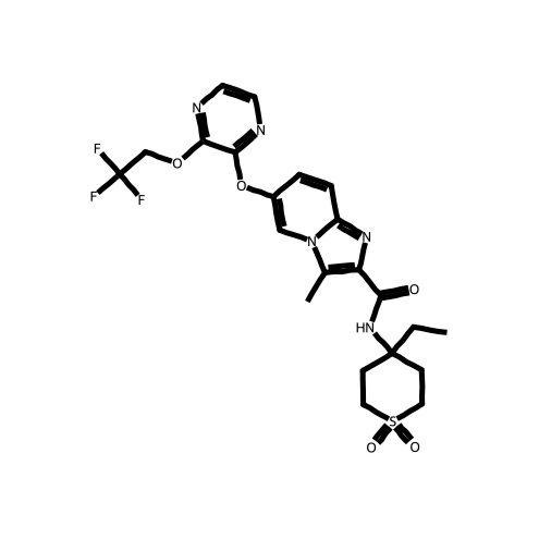 CCC1(NC(=O)c2nc3ccc(Oc4nccnc4OCC(F)(F)F)cn3c2C)CCS(=O)(=O)CC1